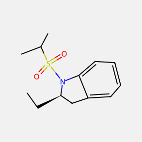 CC[C@@H]1Cc2ccccc2N1S(=O)(=O)C(C)C